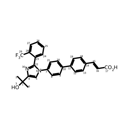 CC(C)(O)c1cn(-c2ccc(-c3ccc(C=CC(=O)O)cc3)cc2)c(-c2ccccc2C(F)(F)F)n1